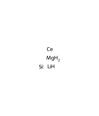 [Ce].[LiH].[MgH2].[Si]